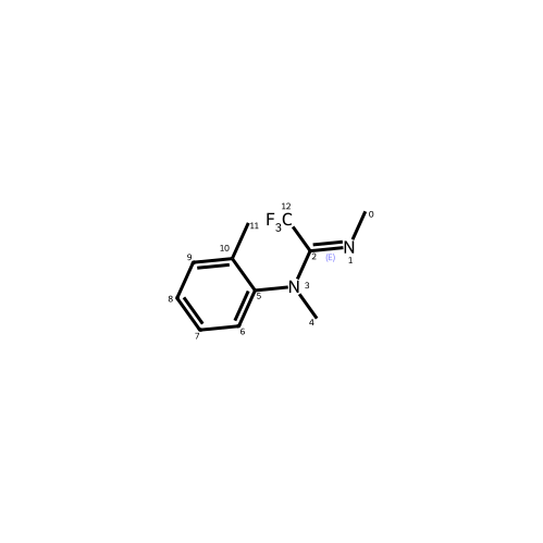 C/N=C(/N(C)c1ccccc1C)C(F)(F)F